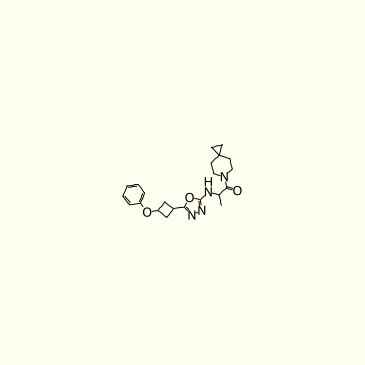 CC(Nc1nnc(C2CC(Oc3ccccc3)C2)o1)C(=O)N1CCC2(CC1)CC2